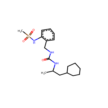 CC(CC1CCCCC1)NC(=O)NCc1ccccc1NS(C)(=O)=O